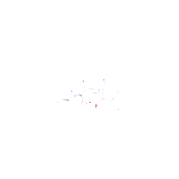 CCCNC([O][Ni][O]C(NCCC)C(C)CC)C(C)CC